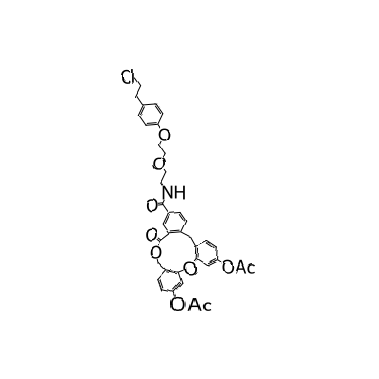 CC(=O)Oc1ccc2c(c1)Oc1cc(OC(C)=O)ccc1Cc1ccc(C(=O)NCCOCCOc3ccc(CCCl)cc3)cc1C(=O)OC2